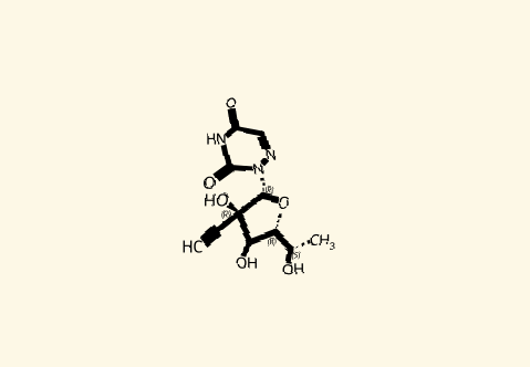 C#C[C@@]1(O)C(O)[C@@H]([C@H](C)O)O[C@H]1n1ncc(=O)[nH]c1=O